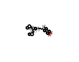 O=C(CCCc1ccc2c3ccc(C(F)(F)F)c4c(C(F)(F)F)ccc(c5ccc(C(F)(F)F)c1c25)c43)Oc1cc(Cl)c(/C(=C2\C=C3CCCc4ccccc4C3=N2)c2cc3c([nH]2)C2=C(C=CCC2)CCC3)c(Cl)c1